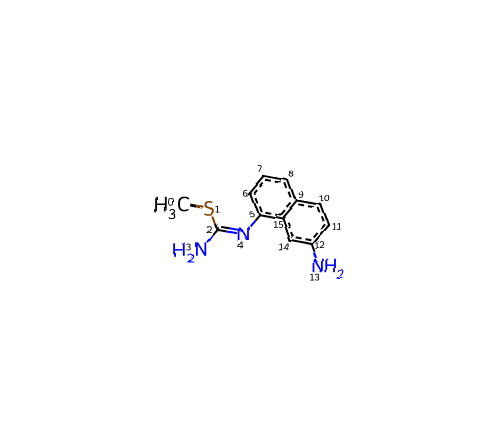 CS/C(N)=N\c1cccc2ccc(N)cc12